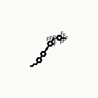 CCCCc1ccc(-c2ccc(C#Cc3cc(F)c(C(F)(F)Oc4cc(F)c(C(F)(F)F)c(F)c4)c(F)c3)cc2)cc1